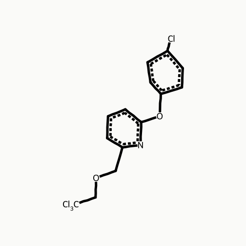 Clc1ccc(Oc2cccc(COCC(Cl)(Cl)Cl)n2)cc1